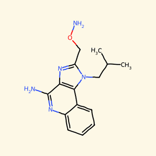 CC(C)Cn1c(CON)nc2c(N)nc3ccccc3c21